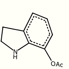 CC(=O)Oc1cccc2c1NCC2